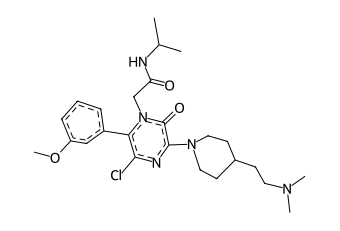 COc1cccc(-c2c(Cl)nc(N3CCC(CCN(C)C)CC3)c(=O)n2CC(=O)NC(C)C)c1